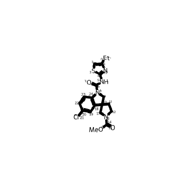 [CH2][CH]c1csc(NC(=O)N2CC3(CCN(C(=O)OC)C3)c3cc(Cl)ccc32)n1